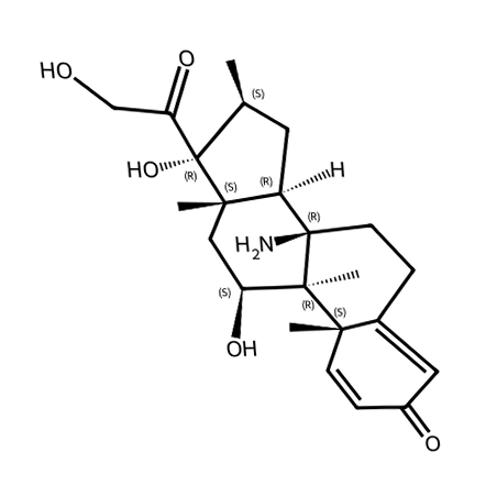 C[C@H]1C[C@@H]2[C@](C)(C[C@H](O)[C@]3(C)[C@@]4(C)C=CC(=O)C=C4CC[C@@]23N)[C@@]1(O)C(=O)CO